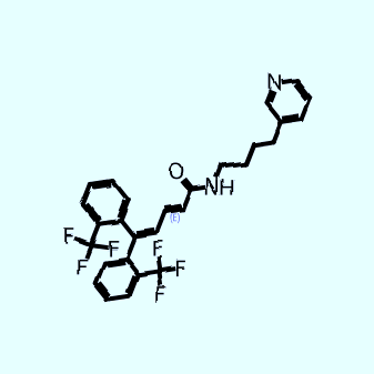 O=C(/C=C/C=C(c1ccccc1C(F)(F)F)c1ccccc1C(F)(F)F)NCCCCc1cccnc1